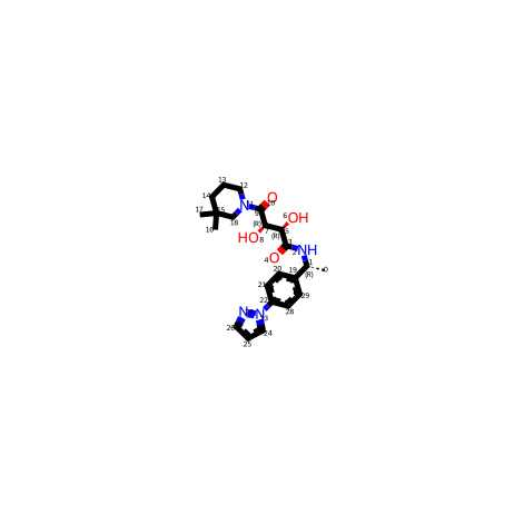 C[C@@H](NC(=O)[C@H](O)[C@@H](O)C(=O)N1CCCC(C)(C)C1)c1ccc(-n2cccn2)cc1